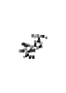 CC(C)c1cccc(-c2cc(=O)c(O)c(C(=O)O)[nH]2)c1